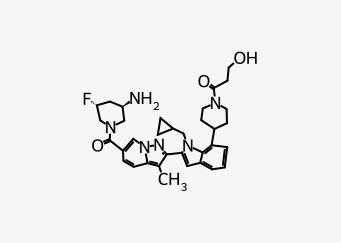 Cc1c(-c2cc3cccc(C4CCN(C(=O)CCO)CC4)c3n2CC2CC2)nn2cc(C(=O)N3C[C@H](N)C[C@@H](F)C3)ccc12